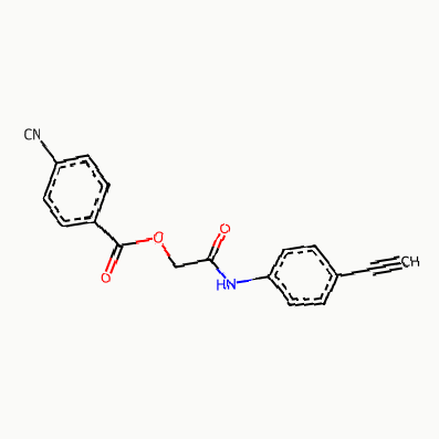 [C-]#[N+]c1ccc(C(=O)OCC(=O)Nc2ccc(C#C)cc2)cc1